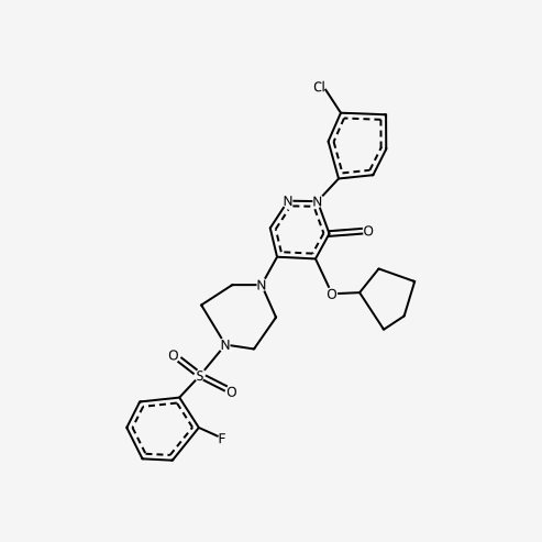 O=c1c(OC2CCCC2)c(N2CCN(S(=O)(=O)c3ccccc3F)CC2)cnn1-c1cccc(Cl)c1